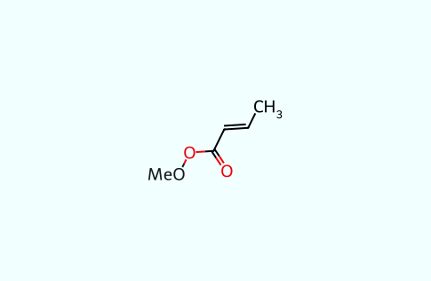 CC=CC(=O)OOC